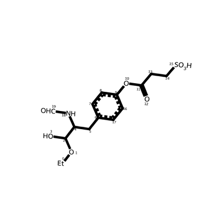 CCOC(O)C(Cc1ccc(OC(=O)CCS(=O)(=O)O)cc1)NC=O